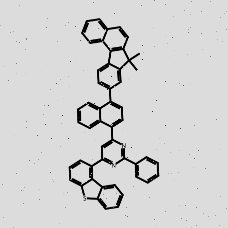 CC1(C)c2cc(-c3ccc(-c4cc(-c5cccc6sc7ccccc7c56)nc(-c5ccccc5)n4)c4ccccc34)ccc2-c2c1ccc1ccccc21